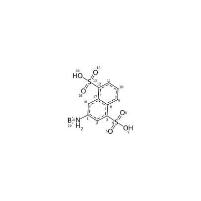 Nc1cc(S(=O)(=O)O)c2cccc(S(=O)(=O)O)c2c1.[B]